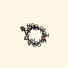 CC(C)C[C@@H]1C(=O)N[C@H](CC(C)C)C(=O)N(C)C(C(C)C)C(=O)N(C)C([C@H](O)[C@H](C)CCN2CC3CCC(C2)O3)C(=O)NC([C@@H](C)O)C(=O)N(C)CC(=O)N(C)[C@@H](CC(C)C)C(=O)N[C@H](CC(C)C)N(C)[C@H](CC(C)C)N[C@H](C)C(=O)OC(=O)N1C